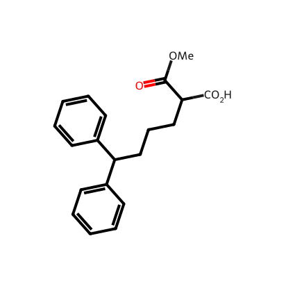 COC(=O)C(CCCC(c1ccccc1)c1ccccc1)C(=O)O